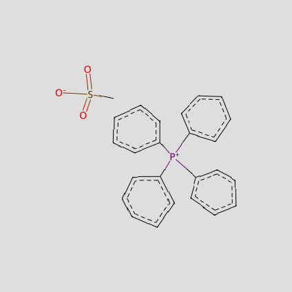 CS(=O)(=O)[O-].c1ccc([P+](c2ccccc2)(c2ccccc2)c2ccccc2)cc1